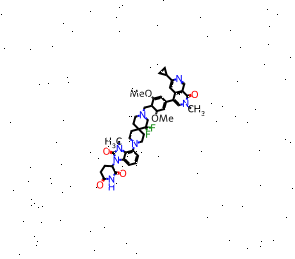 COC1=CC(c2cn(C)c(=O)c3cnc(C4CC4)cc23)=CC(OC)C1CN1CCC2(CCN(c3cccc4c3n(C)c(=O)n4C3CCC(=O)NC3=O)CC2)C(F)(F)C1